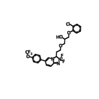 OC(COCCC1N2C=C(c3ccc(OC(F)(F)F)cc3)C=CC2=N[N+]1(F)F)COc1ccccc1Cl